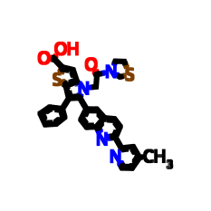 Cc1ccnc(-c2ccc3cc(-c4c(-c5ccccc5)c5sc(C(=O)O)cc5n4CC(=O)N4CCSC4)ccc3n2)c1